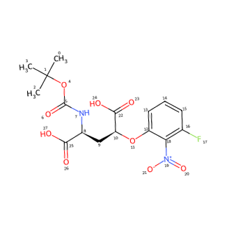 CC(C)(C)OC(=O)N[C@@H](C[C@H](Oc1cccc(F)c1[N+](=O)[O-])C(=O)O)C(=O)O